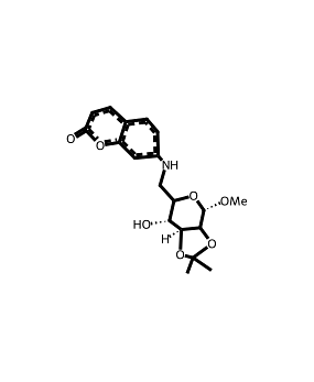 CO[C@H]1OC(CNc2ccc3ccc(=O)oc3c2)[C@@H](O)[C@@H]2OC(C)(C)OC12